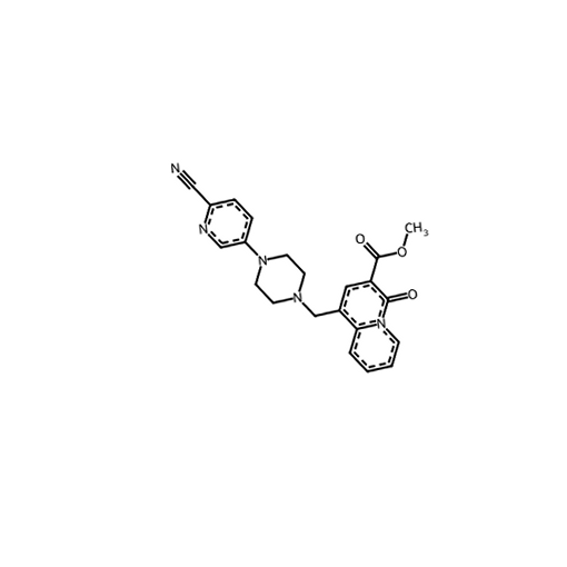 COC(=O)c1cc(CN2CCN(c3ccc(C#N)nc3)CC2)c2ccccn2c1=O